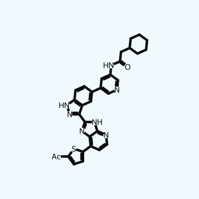 CC(=O)c1ccc(-c2ccnc3[nH]c(-c4n[nH]c5ccc(-c6cncc(NC(=O)CC7CCCCC7)c6)cc45)nc23)s1